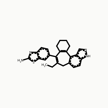 CCC1=C(c2ccc3nc(N)sc3c2)C2=C(CCCC2)c2c(ccc3[nH]ncc23)C1